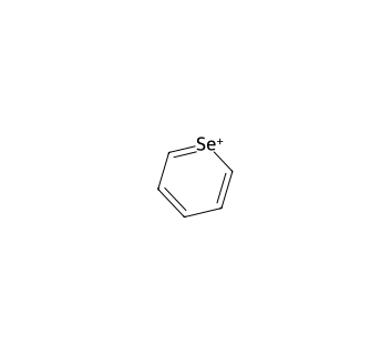 c1cc[se+]cc1